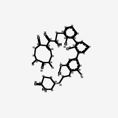 CCOc1cc(-c2cccc(-c3cccc(CC(=N)C(=O)/C4=C/CC(C)C(=O)C(C)CCC4=O)c3Cl)c2Cl)cc(F)c1CCC[C@H]1CCC(=O)NC1